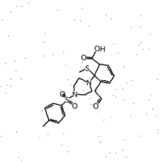 CSC1(N2CCN(S(=O)(=O)c3ccc(C)cc3)CC2)C(CC=O)=CC=CC1C(=O)O